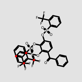 O=C(c1ccccc1)c1ccc(OS(=O)(=O)c2ccccc2C(F)(F)F)c(OS(=O)(=O)c2ccccc2C(F)(F)F)c1OS(=O)(=O)c1ccccc1C(F)(F)F